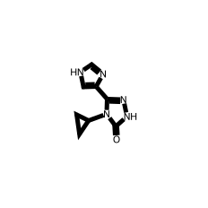 O=c1[nH]nc(-c2c[nH]cn2)n1C1CC1